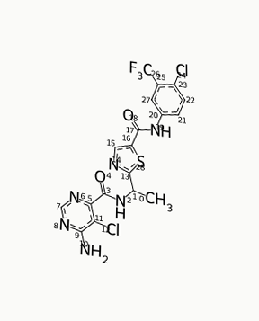 CC(NC(=O)c1ncnc(N)c1Cl)c1ncc(C(=O)Nc2ccc(Cl)c(C(F)(F)F)c2)s1